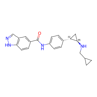 O=C(Nc1ccc([C@@H]2C[C@H]2NCC2CC2)cc1)c1ccc2[nH]ncc2c1